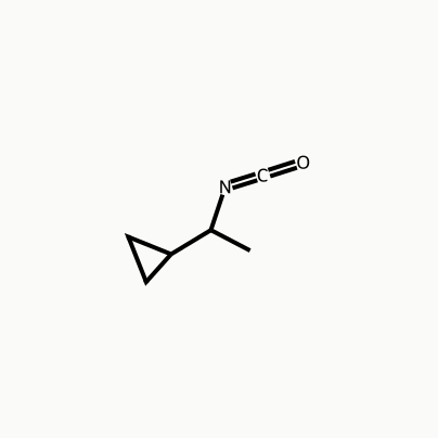 CC(N=C=O)C1CC1